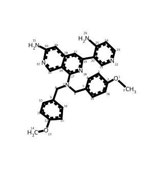 COc1ccc(CN(Cc2ccc(OC)cc2)c2nc(-c3cnccc3N)cc3cc(N)ncc23)cc1